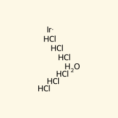 Cl.Cl.Cl.Cl.Cl.Cl.O.[Ir]